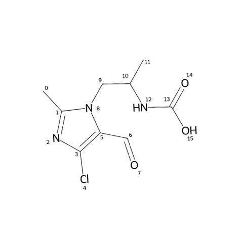 Cc1nc(Cl)c(C=O)n1CC(C)NC(=O)O